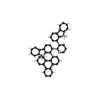 c1cnc(-c2ccc3c([nH]c4ccccc43)c2-c2cccc3c4ccccc4c4ccccc4c23)c(-c2cccc3c2[nH]c2ccccc23)c1